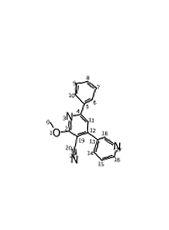 COc1nc(-c2ccccc2)cc(-c2cccnc2)c1C#N